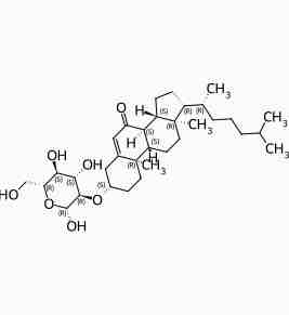 CC(C)CCC[C@@H](C)[C@H]1CC[C@H]2[C@@H]3C(=O)C=C4C[C@@H](O[C@@H]5[C@@H](O)[C@H](O)[C@@H](CO)O[C@H]5O)CC[C@]4(C)[C@H]3CC[C@]12C